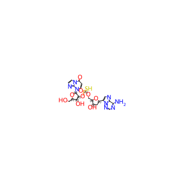 Nc1ncnn2c([C@H]3C[C@H](O)[C@@H](CO[P@](=O)(S)O[C@@H]4[C@H](O)[C@@H](CO)O[C@H]4n4ccc(=O)n5ccnc45)O3)cnc12